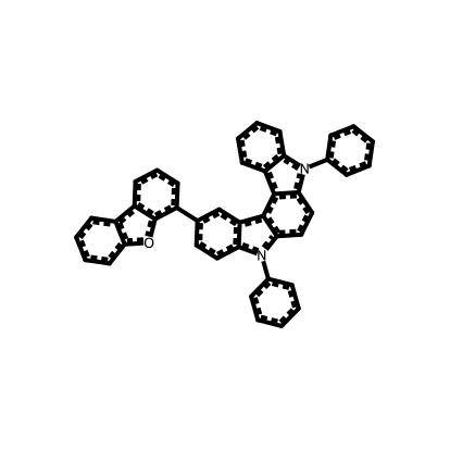 c1ccc(-n2c3ccccc3c3c4c5cc(-c6cccc7c6oc6ccccc67)ccc5n(-c5ccccc5)c4ccc32)cc1